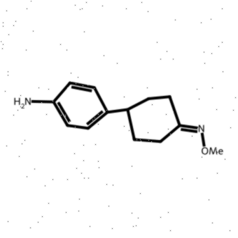 CON=C1CCC(c2ccc(N)cc2)CC1